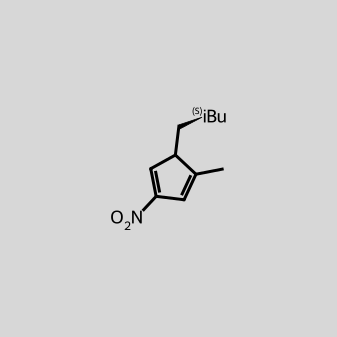 CC[C@H](C)CC1C=C([N+](=O)[O-])C=C1C